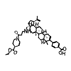 C=C(C)[C@@H]1CC[C@]2(CNCCC(=O)N3CCC(C(=O)OCC)CC3)CC[C@]3(C)[C@H](CC[C@@H]4[C@@]5(C)CC=C(c6ccc(C(=O)O)cc6)C(C)(C)[C@@H]5CC[C@]43C)[C@@H]12